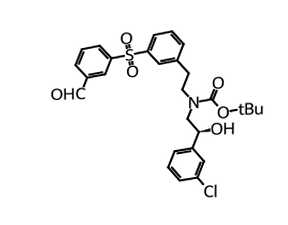 CC(C)(C)OC(=O)N(CCc1cccc(S(=O)(=O)c2cccc(C=O)c2)c1)C[C@@H](O)c1cccc(Cl)c1